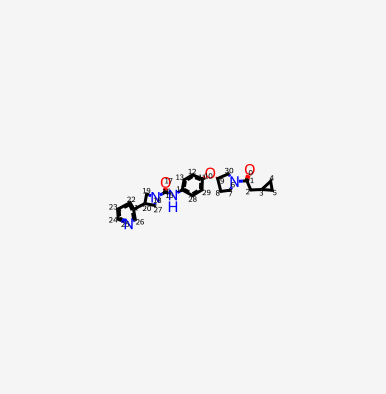 O=C(CC1CC1)N1CC[C@H](Oc2ccc(NC(=O)N3CC(c4cccnc4)C3)cc2)C1